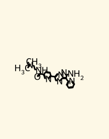 CN(C)CCNC(=O)c1ccc(-c2cnc3c(-c4ccccn4)c(N)nn3c2)nc1